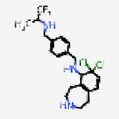 CC(NCc1ccc(CNC2C3=C(C=CC2(Cl)Cl)CCNCC3)cc1)C(F)(F)F